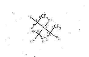 FC(F)(F)C(F)(F)[Si](F)(C(F)(F)C(F)(F)F)C(F)(F)C(F)(F)F